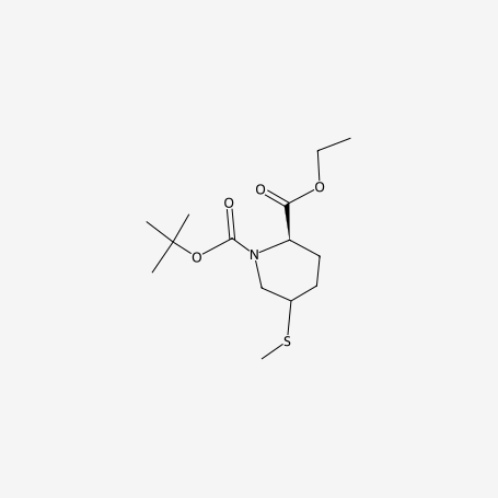 CCOC(=O)[C@H]1CCC(SC)CN1C(=O)OC(C)(C)C